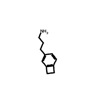 NCCCc1ccc2c(c1)CC2